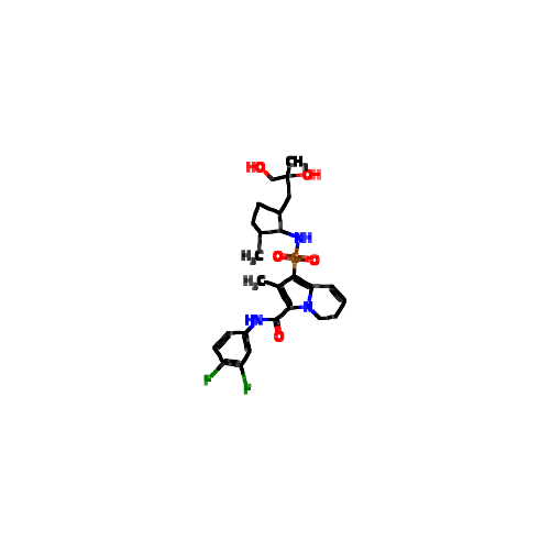 Cc1c(S(=O)(=O)NC2C(C)CCC2CC(C)(O)CO)c2n(c1C(=O)Nc1ccc(F)c(F)c1)CCC=C2